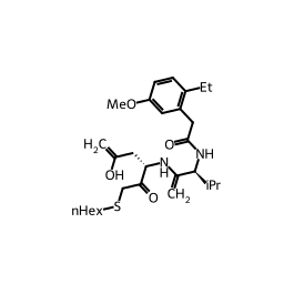 C=C(O)C[C@H](NC(=C)[C@@H](NC(=O)Cc1cc(OC)ccc1CC)C(C)C)C(=O)CSCCCCCC